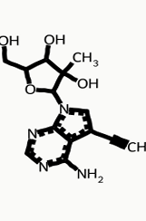 C#Cc1cn(C2OC(CO)C(O)C2(C)O)c2ncnc(N)c12